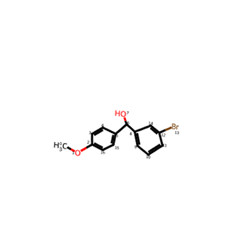 COc1ccc(C(O)c2cccc(Br)c2)cc1